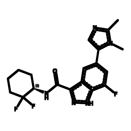 Cc1ncc(-c2cc(F)c3[nH]nc(C(=O)N[C@H]4CCCCC4(F)F)c3c2)n1C